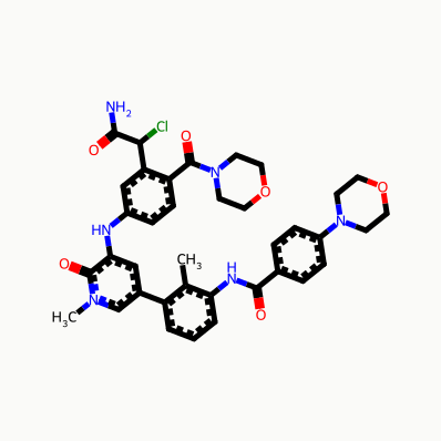 Cc1c(NC(=O)c2ccc(N3CCOCC3)cc2)cccc1-c1cc(Nc2ccc(C(=O)N3CCOCC3)c(C(Cl)C(N)=O)c2)c(=O)n(C)c1